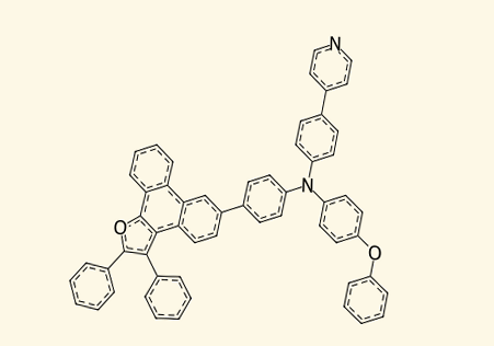 c1ccc(Oc2ccc(N(c3ccc(-c4ccncc4)cc3)c3ccc(-c4ccc5c(c4)c4ccccc4c4oc(-c6ccccc6)c(-c6ccccc6)c54)cc3)cc2)cc1